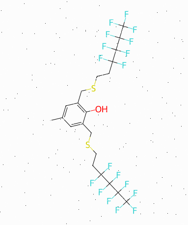 Cc1cc(CSCCC(F)(F)C(F)(F)C(F)(F)C(F)(F)F)c(O)c(CSCCC(F)(F)C(F)(F)C(F)(F)C(F)(F)F)c1